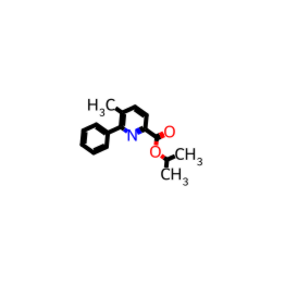 Cc1ccc(C(=O)OC(C)C)nc1-c1ccccc1